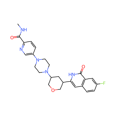 CNC(=O)c1ccc(N2CCN(C3COCC(c4cc5ccc(F)cc5c(=O)[nH]4)C3)CC2)cn1